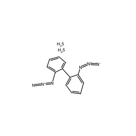 S.S.[N-]=[N+]=Nc1ccccc1-c1ccccc1N=[N+]=[N-]